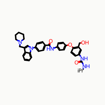 CC(C)NC(=O)Nc1ccc(Oc2ccc(NC(=O)c3ccc(-n4cc(CN5CCCCC5)c5ccccc54)cc3)cc2)c(CO)c1